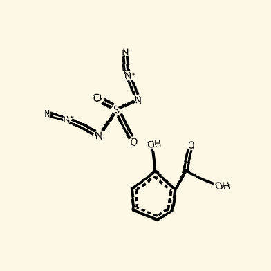 O=C(O)c1ccccc1O.[N-]=[N+]=NS(=O)(=O)N=[N+]=[N-]